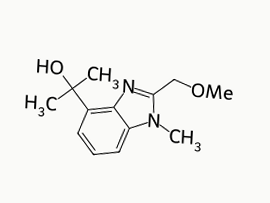 COCc1nc2c(C(C)(C)O)cccc2n1C